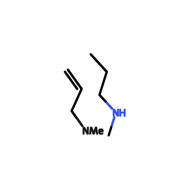 C=CCNC.CCCNC